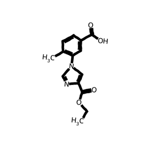 CCOC(=O)c1cn(-c2cc(C(=O)O)ccc2C)cn1